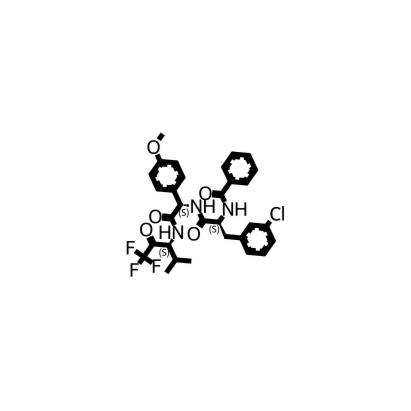 COc1ccc([C@H](NC(=O)[C@H](Cc2cccc(Cl)c2)NC(=O)c2ccccc2)C(=O)N[C@H](C(=O)C(F)(F)F)C(C)C)cc1